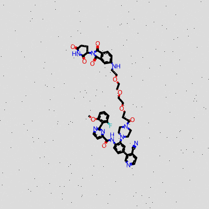 COc1cccc(F)c1-c1nccc(C(=O)Nc2ccc(-c3cnccc3C#N)cc2N2CCN(C(=O)CCOCCOCCOCCNc3ccc4c(c3)C(=O)N(C3CCC(=O)NC3=O)C4=O)CC2)n1